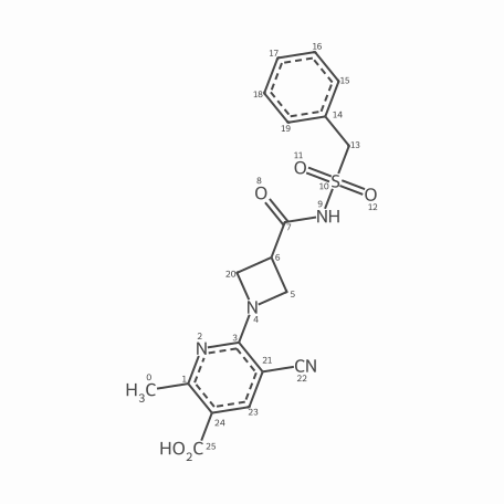 Cc1nc(N2CC(C(=O)NS(=O)(=O)Cc3ccccc3)C2)c(C#N)cc1C(=O)O